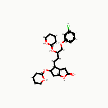 O=C1CC2C(CC(OC3CCCCO3)C2CCC(COc2cccc(Cl)c2)OC2CCCCO2)O1